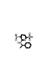 CC(Nc1nc(S(C)(=O)=O)ccc1[N+](=O)[O-])c1ccccc1